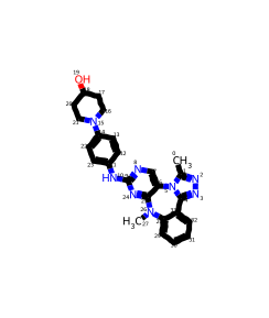 Cc1nnc2n1-c1cnc(Nc3ccc(N4CCC(O)CC4)cc3)nc1N(C)c1ccccc1-2